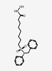 O=C(CCCCCCCS(=O)(=O)N(Cc1ccccc1)c1ccccc1)NO